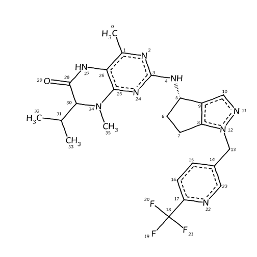 Cc1nc(N[C@H]2CCc3c2cnn3Cc2ccc(C(F)(F)F)nc2)nc2c1NC(=O)C(C(C)C)N2C